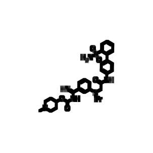 CC(C)N(CC(=O)Nc1ccc(-c2ccccc2S(N)(=O)=O)cc1)c1cccc(C(=N)NC(=O)OC2CCN(C)CC2)c1